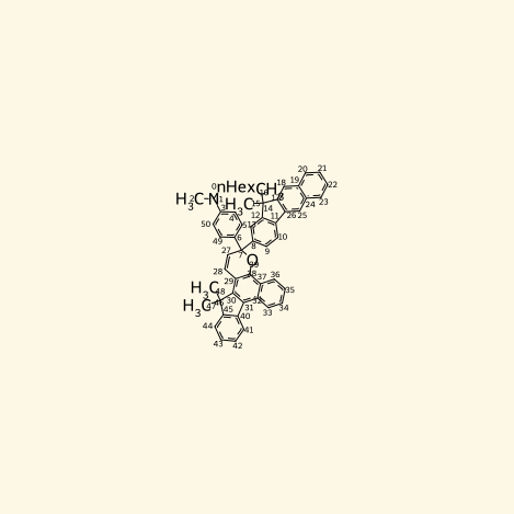 CCCCCCN(C)c1ccc(C2(c3ccc4c(c3)C(C)(C)c3cc5ccccc5cc3-4)C=Cc3c4c(c5ccccc5c3O2)-c2ccccc2C4(C)C)cc1